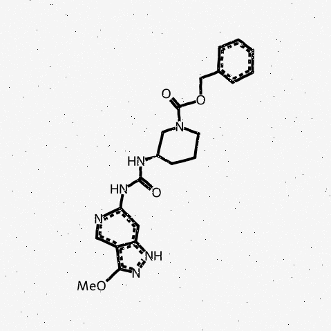 COc1n[nH]c2cc(NC(=O)N[C@@H]3CCCN(C(=O)OCc4ccccc4)C3)ncc12